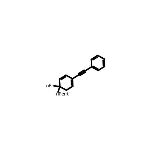 CCCCCC1(CCC)C=CC(C#Cc2ccccc2)=CC1